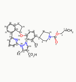 C=CCOC(=O)N1CCC(c2ccc(OC3CCc4cccc(-c5cccc(-n6ncc(C(=O)O)c6CC)n5)c43)cc2CC)CC1